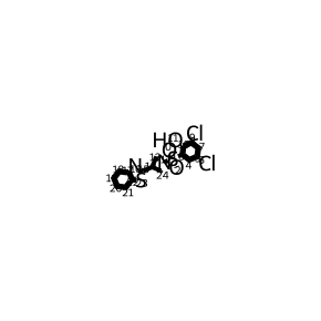 O=S(=O)(c1cc(Cl)cc(Cl)c1O)N1CC(c2nc3ccccc3s2)C1